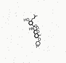 CC(C)=CCc1cc(C(=O)Nc2cc3ccc(OC4CCN(C)CC4)c(C)c3oc2=O)ccc1O